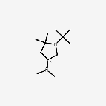 CN(C)[C@@H]1CN(C(C)(C)C)C(C)(C)C1